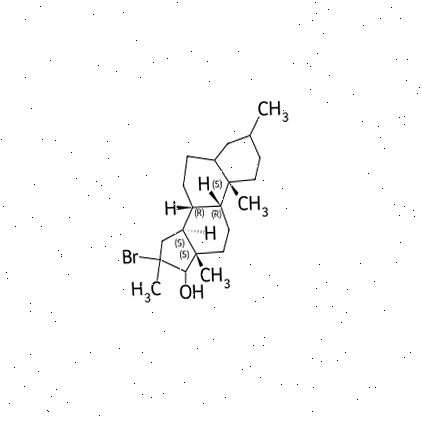 CC1CC[C@@]2(C)C(CC[C@@H]3[C@H]2CC[C@]2(C)C(O)C(C)(Br)C[C@@H]32)C1